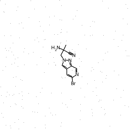 CC(N)(C#N)Cn1cc2cc(Br)ncc2n1